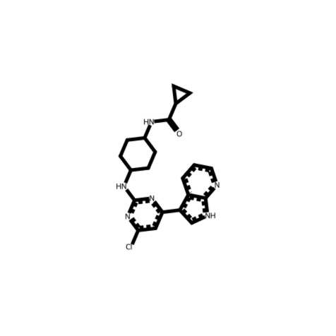 O=C(NC1CCC(Nc2nc(Cl)cc(-c3c[nH]c4ncccc34)n2)CC1)C1CC1